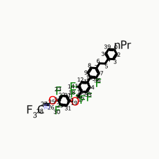 CCCc1ccc(CCc2ccc(-c3cc(F)c(C(F)(F)Oc4cc(F)c(O/C=C/C(F)(F)F)c(F)c4)c(F)c3)c(F)c2)cc1